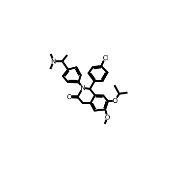 COc1cc2c(cc1OC(C)C)C(c1ccc(Cl)cc1)N(c1ccc(C(C)N(C)C)cc1)C(=O)C2